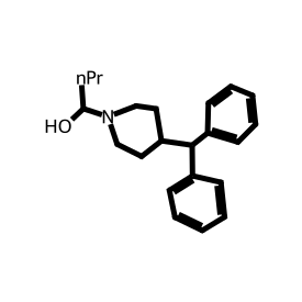 CCCC(O)N1CCC(C(c2ccccc2)c2ccccc2)CC1